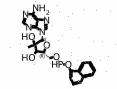 CC1(O)C(O)[C@@H](COPOc2cccc3ccccc23)O[C@H]1n1cnc2c(N)ncnc21